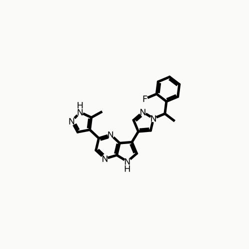 Cc1[nH]ncc1-c1cnc2[nH]cc(-c3cnn(C(C)c4ccccc4F)c3)c2n1